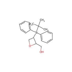 CC(C)(C)[Si](c1ccccc1)(c1ccccc1)C1COC1CO